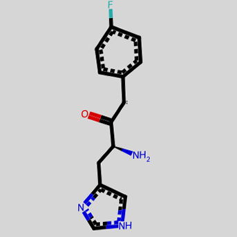 N[C@@H](Cc1c[nH]cn1)C(=O)[C]c1ccc(F)cc1